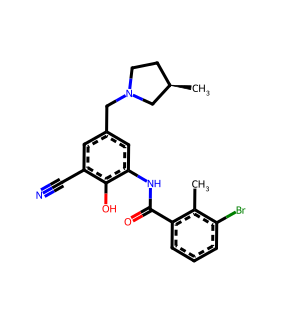 Cc1c(Br)cccc1C(=O)Nc1cc(CN2CC[C@@H](C)C2)cc(C#N)c1O